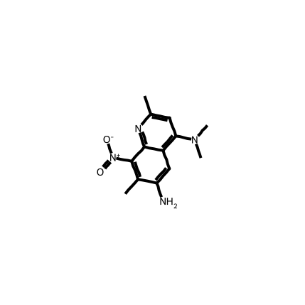 Cc1cc(N(C)C)c2cc(N)c(C)c([N+](=O)[O-])c2n1